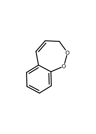 C1=Cc2ccccc2OOC1